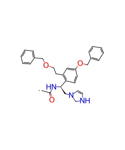 [CH2]C(=O)N[C@H](CN1C=CNC1)c1ccc(OCc2ccccc2)cc1CCOCc1ccccc1